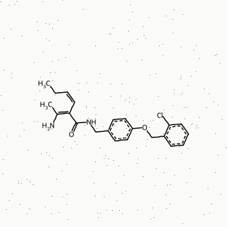 CC/C=C\C(C(=O)NCc1ccc(OCc2ccccc2Cl)cc1)=C(/C)N